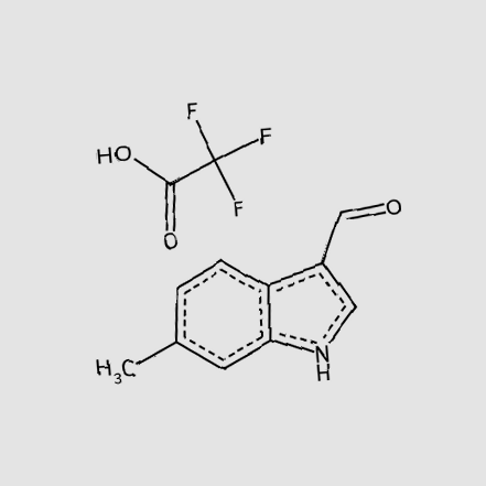 Cc1ccc2c(C=O)c[nH]c2c1.O=C(O)C(F)(F)F